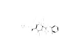 COC(=O)C1=C(C)NC(C)(C(C)Sc2ccccc2)C(C(=O)O)C1C